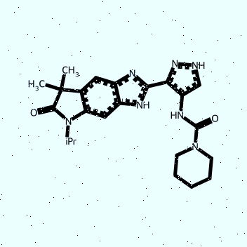 CC(C)N1C(=O)C(C)(C)c2cc3nc(-c4n[nH]cc4NC(=O)N4CCCCC4)[nH]c3cc21